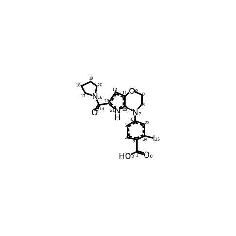 O=C(O)c1ccc(N2CCOc3cc(C(=O)N4CCCC4)[nH]c32)cc1I